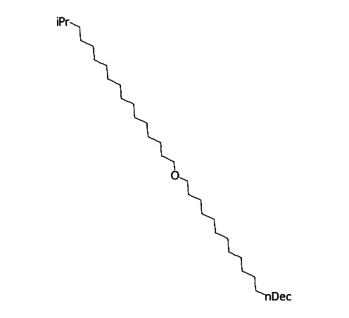 [CH2]CCCCCCCCCCCCCCCCCCCCCOCCCCCCCCCCCCCCCC(C)C